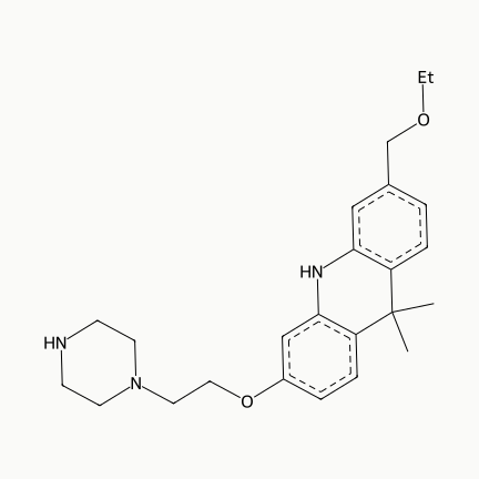 CCOCc1ccc2c(c1)Nc1cc(OCCN3CCNCC3)ccc1C2(C)C